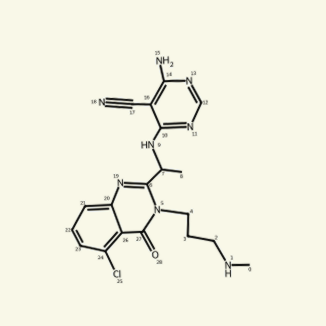 CNCCCn1c(C(C)Nc2ncnc(N)c2C#N)nc2cccc(Cl)c2c1=O